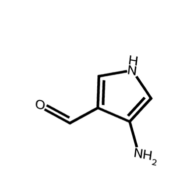 Nc1c[nH]cc1C=O